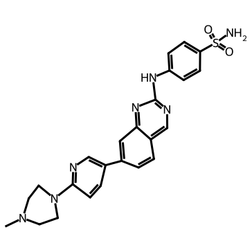 CN1CCN(c2ccc(-c3ccc4cnc(Nc5ccc(S(N)(=O)=O)cc5)nc4c3)cn2)CC1